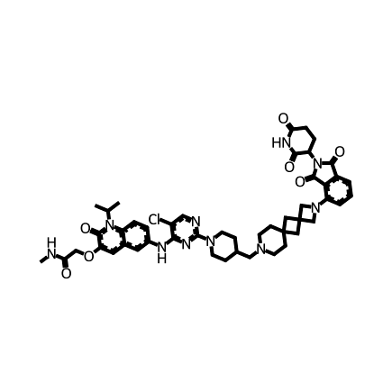 CNC(=O)COc1cc2cc(Nc3nc(N4CCC(CN5CCC6(CC5)CC5(CN(c7cccc8c7C(=O)N(C7CCC(=O)NC7=O)C8=O)C5)C6)CC4)ncc3Cl)ccc2n(C(C)C)c1=O